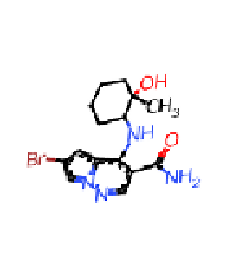 CC1(O)CCCCC1Nc1c(C(N)=O)cnn2cc(Br)cc12